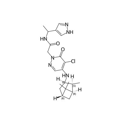 CC(NC(=O)Cn1ncc(N[C@@H]2C[C@H]3C[C@H]([C@@H]2C)C3(C)C)c(Cl)c1=O)c1cn[nH]c1